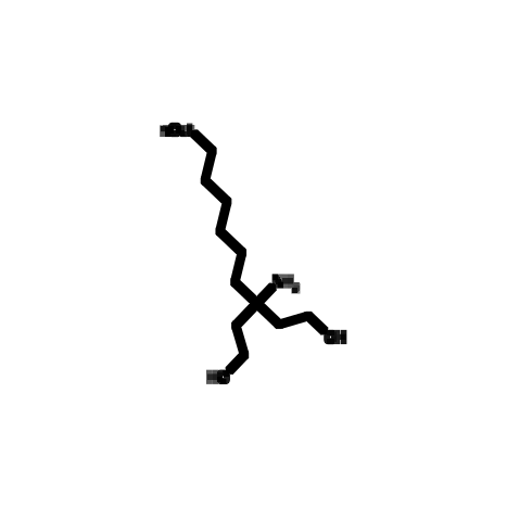 CCCCCCCCCCCCCCC(N)(CCO)CCO